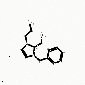 CCCN1C=CN(Cc2ccccc2)C1CC